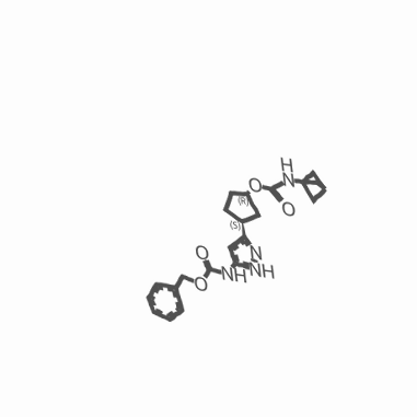 O=C(Nc1cc([C@H]2CC[C@@H](OC(=O)NC34CC(C3)C4)C2)n[nH]1)OCc1ccccc1